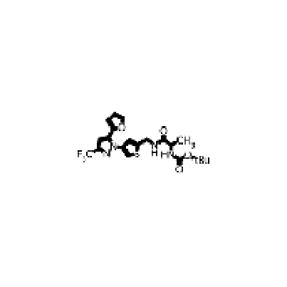 CC(NC(=O)OC(C)(C)C)C(=O)NCc1cc(-n2nc(C(F)(F)F)cc2-c2ccco2)cs1